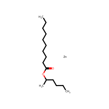 CCCCCCCCCC(=O)OC(C)CCCC.[Zn]